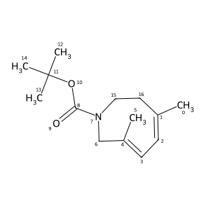 CC1=C/C=C(\C)CN(C(=O)OC(C)(C)C)CC1